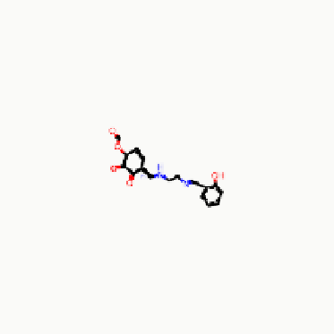 O=COC1C=C/C(=C\NCCN=Cc2ccccc2O)C(=O)C1=O